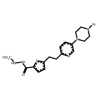 CC(=O)N1CCN(c2ccc(CCc3ccc(C(=O)NNC(=O)O)s3)nc2)CC1